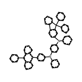 c1ccc(-c2c3ccccc3c(-c3ccc(N(c4ccccc4)c4ccc(N(c5ccccc5)c5ccc6c(c5)C(c5ccccc5)(c5ccccc5)c5ccccc5-6)cc4)cc3)c3ccccc23)cc1